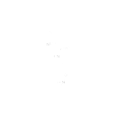 O=C(NCCO[N+](=O)[O-])c1cscn1